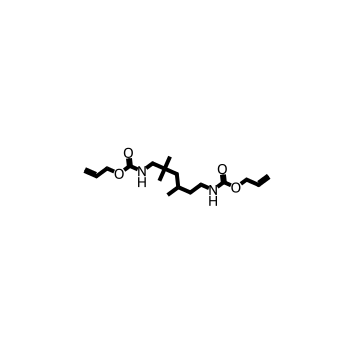 C=CCOC(=O)NCCC(C)CC(C)(C)CNC(=O)OCC=C